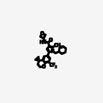 Cc1c(C(=O)NC2COC2)cc(-c2cc(C(F)(F)F)c3c(c2)C2(CCO3)CC2)n1CC1CCCCC1